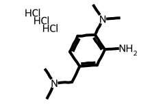 CN(C)Cc1ccc(N(C)C)c(N)c1.Cl.Cl.Cl